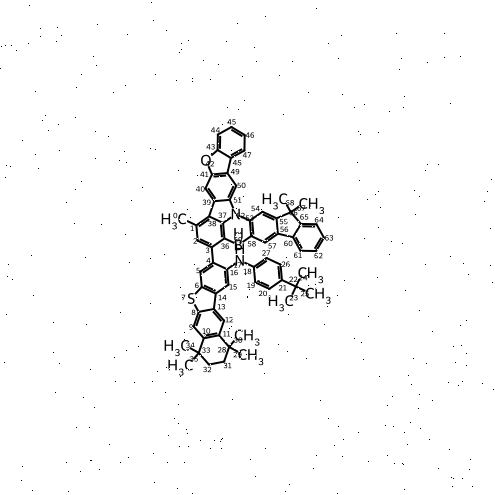 Cc1cc(-c2cc3sc4cc5c(cc4c3cc2Nc2ccc(C(C)(C)C)cc2)C(C)(C)CCC5(C)C)c2c3c1c1cc4oc5ccccc5c4cc1n3-c1cc3c(cc1B2)-c1ccccc1C3(C)C